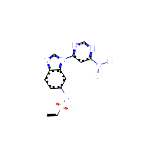 C=CS(=O)(=O)Nc1ccc2ncn(-c3cc(N(CC)CC)ncn3)c2c1